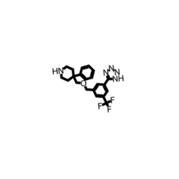 FC(F)(F)c1cc(COCC2(c3ccccc3)CCNCC2)cc(-c2nnn[nH]2)c1